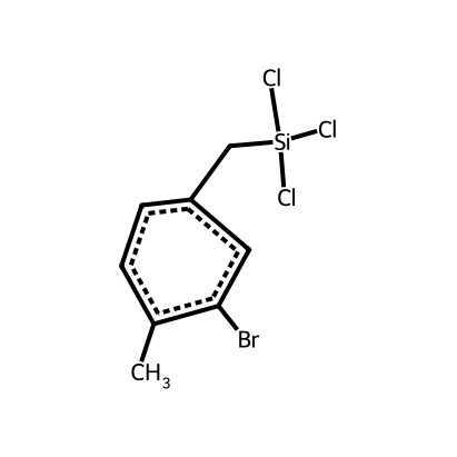 Cc1ccc(C[Si](Cl)(Cl)Cl)cc1Br